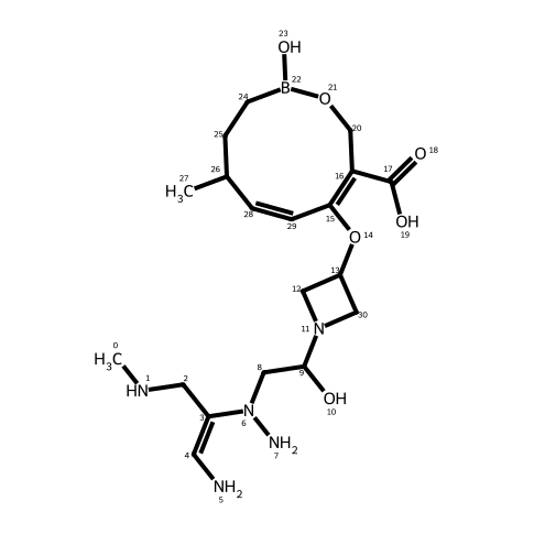 CNC/C(=C/N)N(N)CC(O)N1CC(OC2=C(\C(=O)O)COB(O)CCC(C)/C=C\2)C1